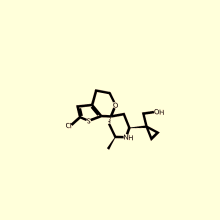 C[C@H]1C[C@@]2(C[C@@H](C3(CO)CC3)N1)OCCc1cc(Cl)sc12